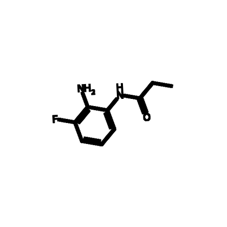 CCC(=O)Nc1cccc(F)c1N